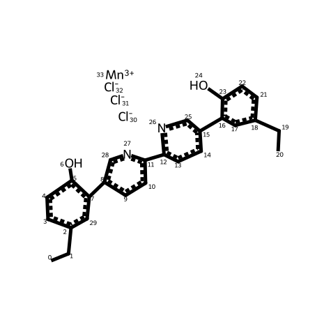 CCc1ccc(O)c(-c2ccc(-c3ccc(-c4cc(CC)ccc4O)cn3)nc2)c1.[Cl-].[Cl-].[Cl-].[Mn+3]